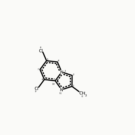 Cc1cn2cc(Cl)cc(Cl)c2n1